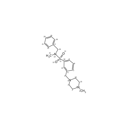 CN1CCN(Cc2cccc(S(=O)(=O)N(C)Cc3ccccc3)c2)CC1